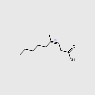 CCCCC/C(C)=C\CC(=O)O